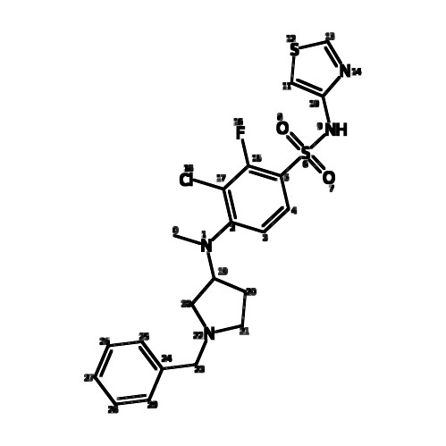 CN(c1ccc(S(=O)(=O)Nc2cscn2)c(F)c1Cl)C1CCN(Cc2ccccc2)C1